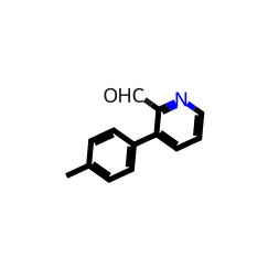 Cc1ccc(-c2cccnc2C=O)cc1